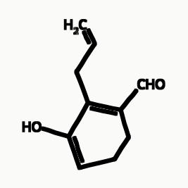 C=CCC1=C(C=O)CCC=C1O